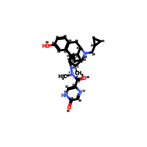 C[C@H]1CC23CCC(N(C)C(=O)c4c[nH]c(=O)cn4)C1C21CCN(CC2CC2)C3Cc2ccc(O)cc21